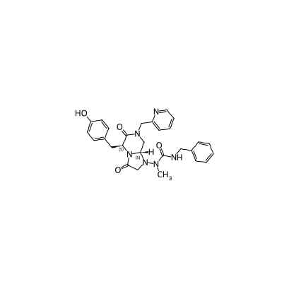 CN(C(=O)NCc1ccccc1)N1CC(=O)N2[C@@H](Cc3ccc(O)cc3)C(=O)N(Cc3ccccn3)C[C@@H]21